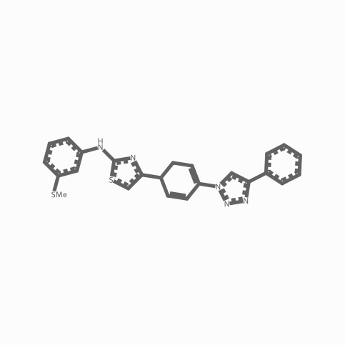 CSc1cccc(Nc2nc(C3C=CC(n4cc(-c5ccccc5)nn4)=CC3)cs2)c1